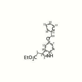 CCOC(=O)Cc1c[nH]c2ccc(OCc3ccccc3)cc12